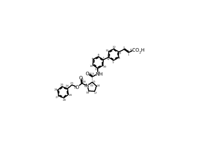 O=C(O)C=Cc1ccc(-c2cccc(NC(=O)[C@@H]3CCCN3C(=O)OCc3ccccc3)c2)cc1